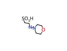 O=S(=O)(O)CC[N]N1CCOCC1